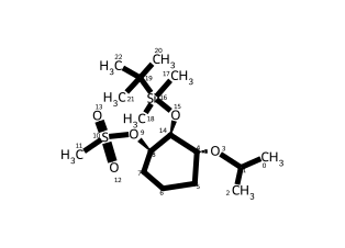 CC(C)O[C@@H]1CCC[C@@H](OS(C)(=O)=O)[C@H]1O[Si](C)(C)C(C)(C)C